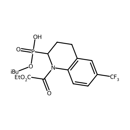 CCOC(=O)C(=O)N1c2ccc(C(F)(F)F)cc2CCC1P(=O)(O)OC(C)CC